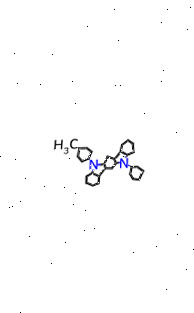 Cc1ccc(-n2c3ccccc3c3cc4c(cc32)c2ccccc2n4-c2ccccc2)cc1